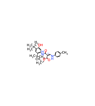 CCOC(=O)/C(=C\Nc1ccc(C)cc1)C(=O)Nc1cc(O)c(C(C)(C)C)cc1C(C)(C)C